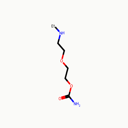 CCNCCOCCOC(N)=O